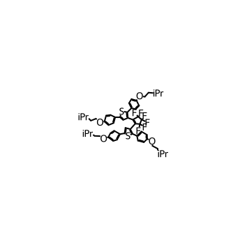 CC(C)CCOc1ccc(-c2cc(C3=C(c4cc(-c5ccc(OCCC(C)C)cc5)sc4-c4ccc(OCCC(C)C)cc4)C(F)(F)C(F)(F)C3(F)F)c(-c3ccc(OCCC(C)C)cc3)s2)cc1